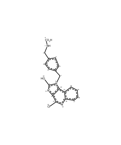 O=C(O)NCc1ccc(Cn2c(O)nc3c(Cl)nc4ccccc4c32)cc1